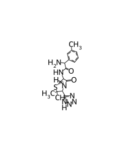 Cc1cccc(C(N)C(=O)NC2C(=O)N3C(c4nnn[nH]4)C(C)(C)S[C@H]23)c1